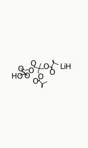 C=C(C)C(=O)OCC(C)(COC(=O)C(=C)C)C(=O)OCS(=O)(=O)O.[LiH]